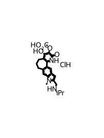 CC(C)NCc1cc2cc3c(cc2n1C)CCCc1c-3[nH]c(=O)c(OC(=O)O)c1O.Cl